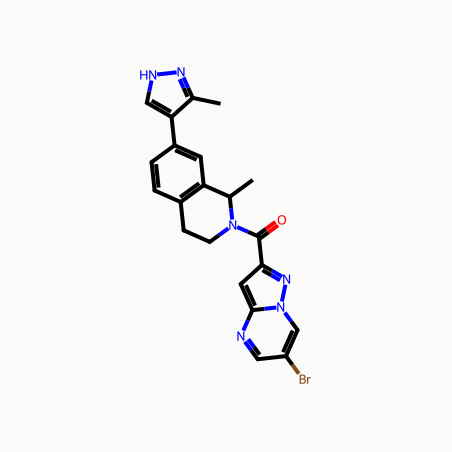 Cc1n[nH]cc1-c1ccc2c(c1)C(C)N(C(=O)c1cc3ncc(Br)cn3n1)CC2